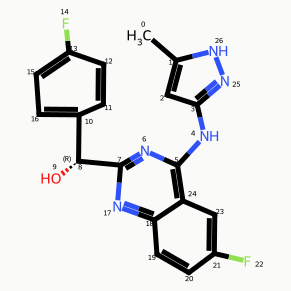 Cc1cc(Nc2nc([C@H](O)c3ccc(F)cc3)nc3ccc(F)cc23)n[nH]1